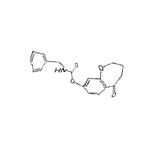 O=C(NCc1ccccc1)Oc1ccc2c(c1)OCCCC2=O